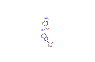 CC(C)(C)C(=O)c1cc2cc(NC(=O)c3ccc(N)cc3)ccn2c1